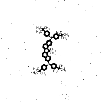 CC(C)(C)c1ccc(N(c2ccc(C(C)(C)C)cc2)c2ccc3c4c(ccc3c2)-c2ccc3cc(N(c5ccc(C(C)(C)C)cc5)c5ccc(C(C)(C)C)cc5)ccc3c2C4(C)C)cc1